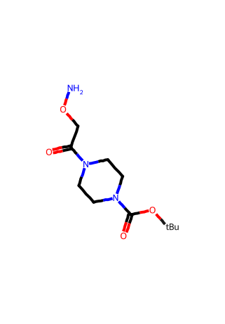 CC(C)(C)OC(=O)N1CCN(C(=O)CON)CC1